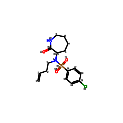 C=CCCN([C@@H]1CCCCNC1=O)S(=O)(=O)c1ccc(Cl)cc1